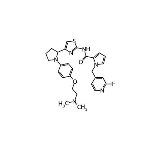 CN(C)CCOc1ccc(N2CCCC2c2csc(NC(=O)c3cccn3Cc3ccnc(F)c3)n2)cc1